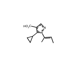 C/C=C(\C)n1ncc(C(=O)O)c1C1CC1